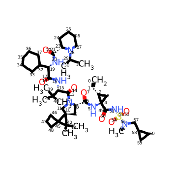 C=C[C@@H]1C[C@]1(NC(=O)[C@@H]1C[C@@]2(CN1C(=O)[C@@H](NC(=O)[C@@H](NC(=O)[C@@H]1CCCCN1C(C)C)C1CCCCC1)C(C)(C)C)C(C)(C)C21CCC1)C(=O)NS(=O)(=O)N(C)CC1CC1